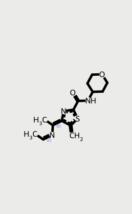 C=c1sc(C(=O)NC2CCOCC2)n/c1=C(C)/N=C\C